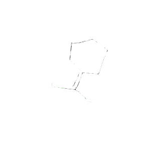 BrC(Br)=C1CCCCC1